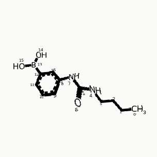 CCCCNC(=O)Nc1cccc(B(O)O)c1